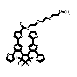 COCCOCCOCCOC(=O)c1ccc(-c2cc(C3=C(c4cc(-c5cccs5)sc4-c4cccs4)C(F)(F)C(F)(F)C3(F)F)c(-c3cccs3)s2)s1